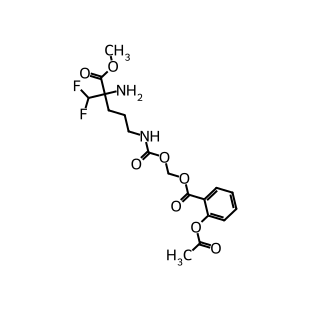 COC(=O)C(N)(CCCNC(=O)OCOC(=O)c1ccccc1OC(C)=O)C(F)F